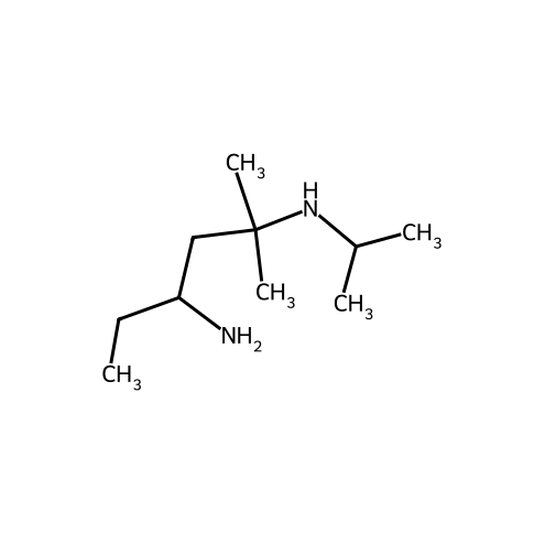 CCC(N)CC(C)(C)NC(C)C